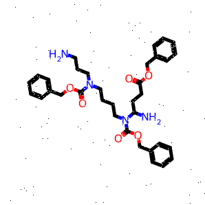 NCCCN(CCCCN(C(=O)OCc1ccccc1)C(N)CCC(=O)OCc1ccccc1)C(=O)OCc1ccccc1